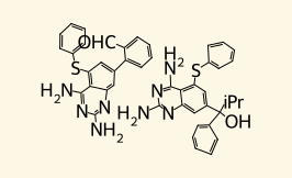 CC(C)C(O)(c1ccccc1)c1cc(Sc2ccccc2)c2c(N)nc(N)nc2c1.Nc1nc(N)c2c(Sc3ccccc3)cc(-c3ccccc3C=O)cc2n1